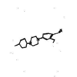 CCc1cc(N2CCN(C3CCC(C)CC3)CC2)ccc1C#N